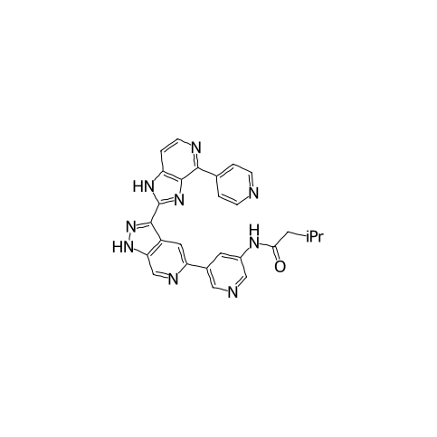 CC(C)CC(=O)Nc1cncc(-c2cc3c(-c4nc5c(-c6ccncc6)nccc5[nH]4)n[nH]c3cn2)c1